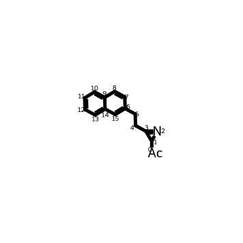 CC(=O)C1N=C1CCc1ccc2ccccc2c1